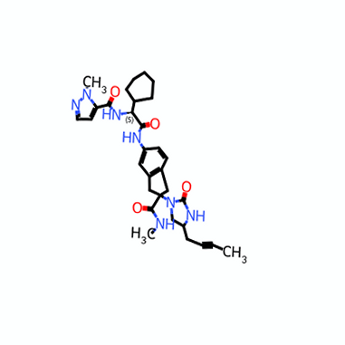 CC#CCC1CN(C2(C(=O)NC)Cc3ccc(NC(=O)[C@@H](NC(=O)c4ccnn4C)C4CCCCC4)cc3C2)C(=O)N1